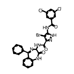 O=C(Nc1[nH]nc(C(=O)NC2N=C(c3ccccc3)c3ccccc3NC2=O)c1Br)c1cc(Cl)cc(Cl)c1